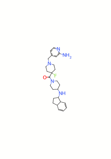 Nc1cc(CN2CCC(F)(C(=O)N3CCC(NC4CCC5C=CC=CC54)CC3)CC2)ccn1